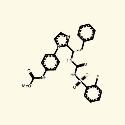 COC(=O)Nc1ccc(-n2ccnc2[C@H](Cc2ccccc2)NC(=O)NS(=O)(=O)c2ccccc2F)cc1